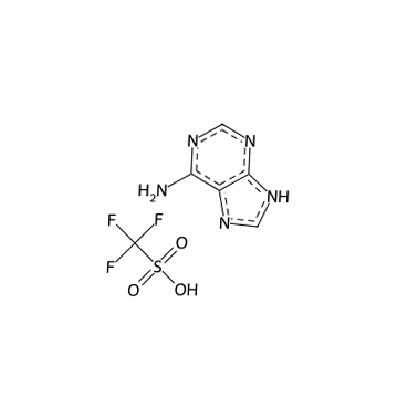 Nc1ncnc2[nH]cnc12.O=S(=O)(O)C(F)(F)F